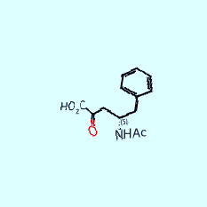 CC(=O)N[C@H](CC(=O)C(=O)O)Cc1ccccc1